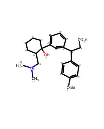 CC(C)COc1ccc(C(CC(=O)O)c2cccc(C3(O)CCCCC3CN(C)C)c2)cc1